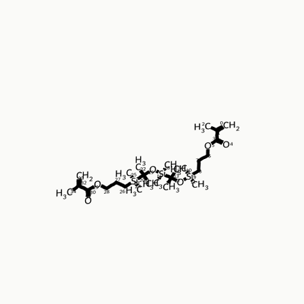 C=C(C)C(=O)OCCC[Si](C)(C)OC(C)(C)[Si](C)(C)OC(C)(C)[Si](C)(C)CCCOC(=O)C(=C)C